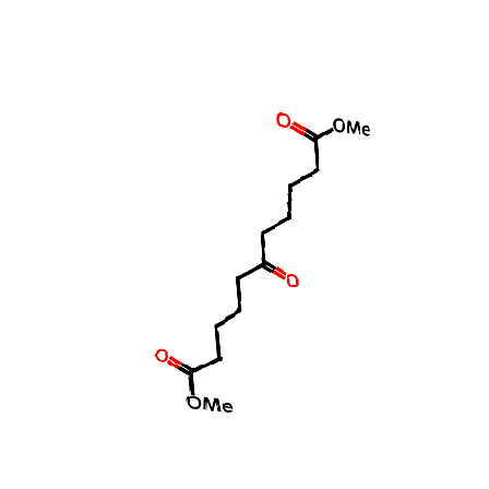 COC(=O)CCCCC(=O)CCCCC(=O)OC